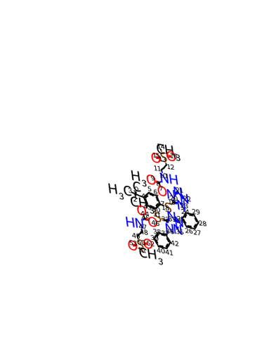 CC(C)(C)c1cc(OC(=O)NCCS(C)(=O)=O)c(Sc2nnnn2-c2ccccc2)c(Sc2nnnn2-c2ccccc2)c1OC(=O)NCCS(C)(=O)=O